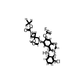 COC1(CN(C=O)c2cc3c(Nc4cccc(Cl)c4F)ncnc3cc2OC(F)F)CN(C(=O)OC(C)(C)C)C1